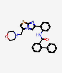 O=C(Nc1ccccc1-c1cn2c(CN3CCOCC3)csc2n1)c1ccccc1-c1ccccc1